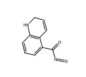 O=NC(=O)c1cccc2c1C=CCN2